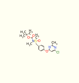 Cc1nc(Cl)cc(Oc2ccc(C[SH](C)(=O)N(C)C(=O)OC(C)(C)C)cc2)n1